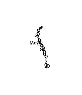 C=C(C)C(=O)OCCCCCCOc1ccc2cc(C(=O)Oc3ccc(C(=O)Oc4ccc(/C=C/C(=O)OCC5CCC(CCC)CC5)cc4OC)cc3)ccc2c1